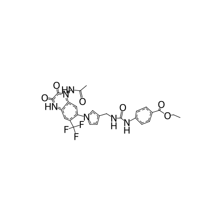 CCOC(=O)c1ccc(NC(=O)NCc2ccn(-c3cc4c(cc3C(F)(F)F)[nH]c(=O)c(=O)n4NC(C)=O)c2)cc1